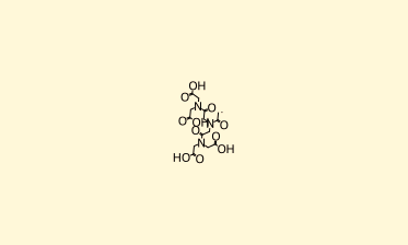 [CH2]C(=O)N(CC(=O)N(CC(=O)O)CC(=O)O)CC(=O)N(CC(=O)O)CC(=O)O